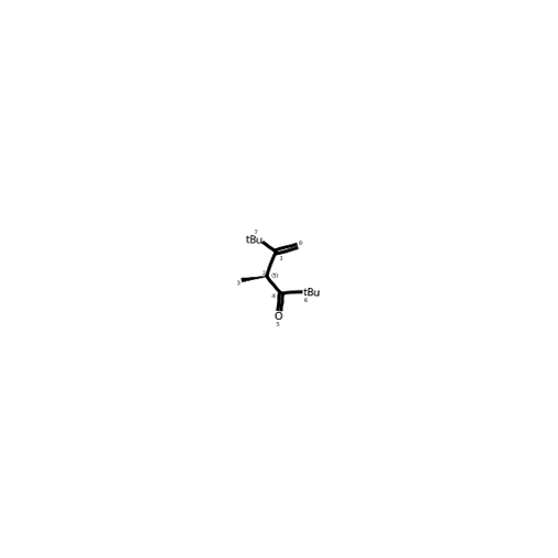 C=C([C@H](C)C(=O)C(C)(C)C)C(C)(C)C